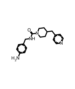 Nc1ccc(CNC(=O)N2CCC(Cc3ccncc3)CC2)cc1